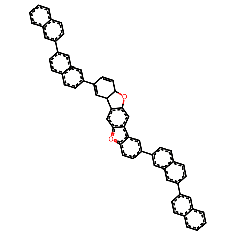 C1=CC2Oc3cc4c(cc3C2C=C1c1ccc2ccc(-c3ccc5ccccc5c3)cc2c1)oc1ccc(-c2ccc3ccc(-c5ccc6ccccc6c5)cc3c2)cc14